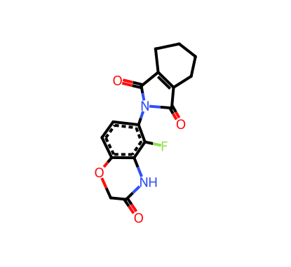 O=C1COc2ccc(N3C(=O)C4=C(CCCC4)C3=O)c(F)c2N1